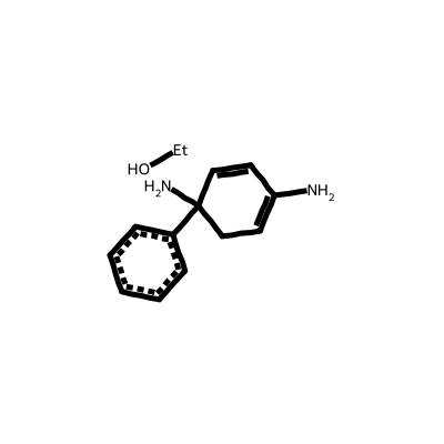 CCO.NC1=CCC(N)(c2ccccc2)C=C1